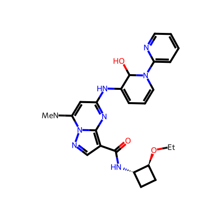 CCO[C@H]1CC[C@@H]1NC(=O)c1cnn2c(NC)cc(NC3=CC=CN(c4ccccn4)C3O)nc12